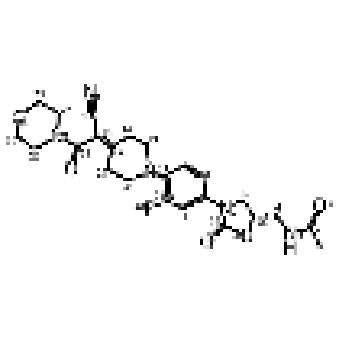 CC(=O)NC[C@H]1CN(c2ccc(N3CCC(=C(C#N)C(=O)N4CCOCC4)CC3)c(F)c2)C(=O)O1